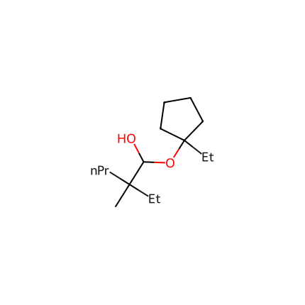 CCCC(C)(CC)C(O)OC1(CC)CCCC1